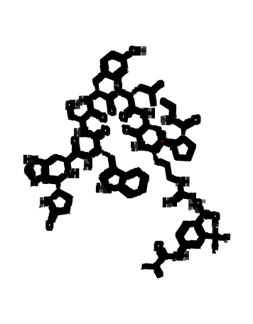 CC(C)C(=O)Nc1ccc([N+](=O)[O-])c(C(F)(F)F)c1.CCNC(=O)[C@@H]1CCCN1C(=O)[C@H](CCCNC(=N)N)NC(=O)[C@H](CC(C)C)NC(=O)[C@@H](CC(C)C)NC(=O)[C@H](Cc1ccc(O)cc1)NC(=O)[C@H](CO)NC(=O)[C@H](Cc1c[nH]c2ccccc12)NC(=O)[C@H](Cc1cnc[nH]1)NC(=O)[C@@H]1CCC(=O)N1